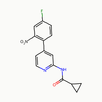 O=C(Nc1cc(-c2ccc(F)cc2[N+](=O)[O-])ccn1)C1CC1